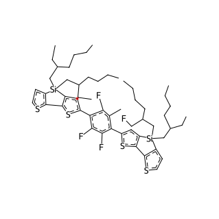 CCCCC(CC)C[Si]1(CC(CF)CCCC)c2ccsc2-c2sc(-c3c(C)c(F)c(-c4cc5c(s4)-c4sccc4[Si]5(CC(CC)CCCC)CC(CC)CCCC)c(F)c3F)cc21